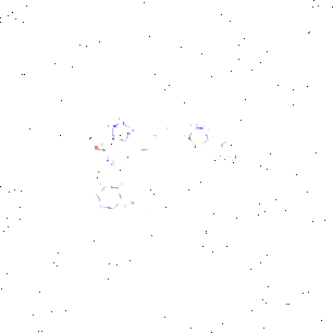 CNC(=O)c1nnc(CCC(F)Cn2cc(C(=O)NCc3cncc(C(F)(F)F)c3)nn2)s1